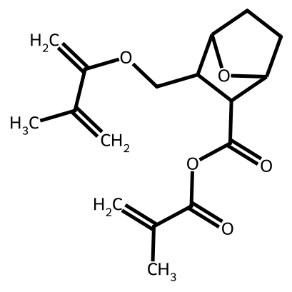 C=C(C)C(=C)OCC1C2CCC(O2)C1C(=O)OC(=O)C(=C)C